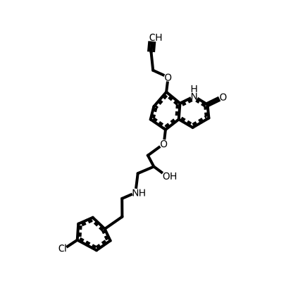 C#CCOc1ccc(OCC(O)CNCCc2ccc(Cl)cc2)c2ccc(=O)[nH]c12